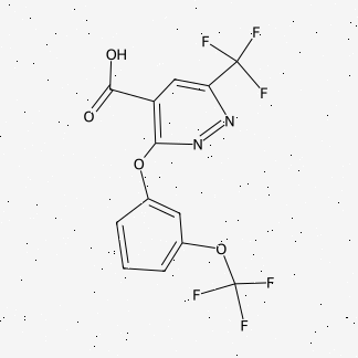 O=C(O)c1cc(C(F)(F)F)nnc1Oc1cccc(OC(F)(F)F)c1